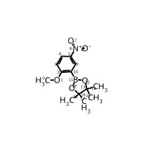 COc1ccc([N+](=O)[O-])cc1B1OC(C)(C)C(C)(C)O1